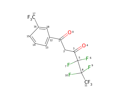 O=C(CC(=O)C(F)(F)C(F)(F)C(F)(F)F)c1cccc(C(F)(F)F)c1